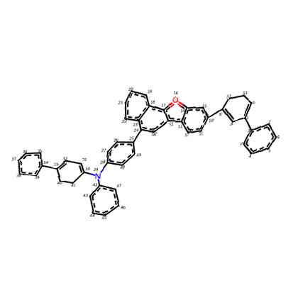 C1=C(c2ccccc2)C=C(c2ccc3c(c2)oc2c4ccccc4c(-c4ccc(N(C5=CC=C(c6ccccc6)CC5)c5ccccc5)cc4)cc32)CC1